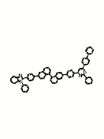 c1ccc(-c2ccc(-c3cc(-c4ccc(-c5ccc6c(-c7cccc8cc(-c9ccc(-c%10nc%11ccccc%11n%10-c%10ccccc%10)cc9)ccc78)cccc6c5)cc4)nc(-c4ccccc4)n3)cc2)cc1